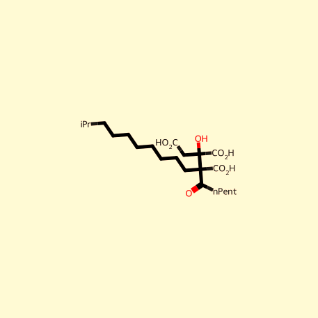 CCCCCC(=O)C(CCCCCCCCC(C)C)(C(=O)O)C(O)(CC(=O)O)C(=O)O